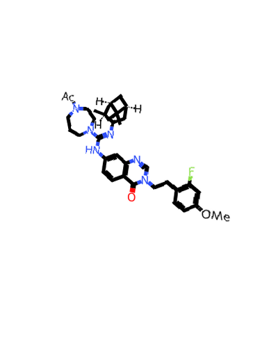 COc1ccc(CCn2cnc3cc(NC(=NC4C[C@@H]5C[C@H]([C@@H]4C)C5(C)C)N4CCCN(C(C)=O)CC4)ccc3c2=O)c(F)c1